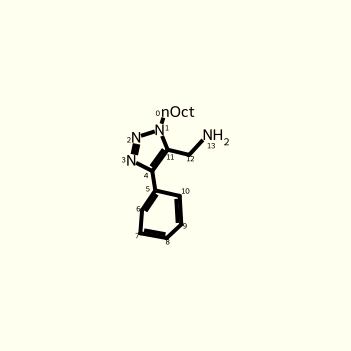 CCCCCCCCn1nnc(-c2ccccc2)c1CN